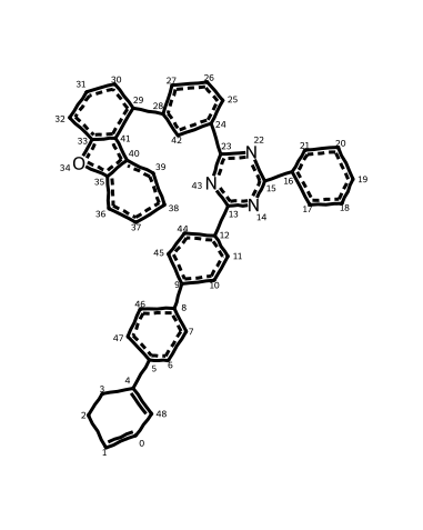 C1=CCCC(c2ccc(-c3ccc(-c4nc(-c5ccccc5)nc(-c5cccc(-c6cccc7oc8ccccc8c67)c5)n4)cc3)cc2)=C1